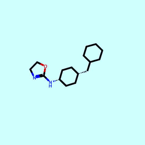 C1CCC(C[C@H]2CC[C@@H](NC3=NCCO3)CC2)CC1